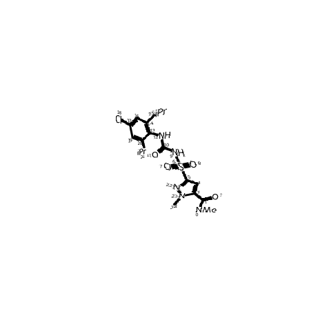 CNC(=O)c1cc(S(=O)(=O)NC(=O)Nc2c(C(C)C)cc(Cl)cc2C(C)C)nn1C